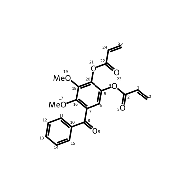 C=CC(=O)Oc1cc(C(=O)c2ccccc2)c(OC)c(OC)c1OC(=O)C=C